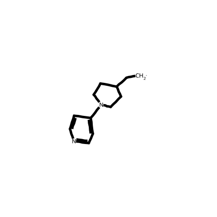 [CH2]CC1CCN(c2ccncc2)CC1